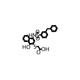 O=C(O)CSc1cc(NS(=O)(=O)c2cccc(Cc3ccccc3)c2)c2ccccc2c1O